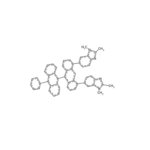 Cc1nc2ccc(-c3cccc4c(-c5c6ccccc6c(-c6ccccc6)c6ccccc56)c5cccc(-c6ccc7nc(C)n(C)c7c6)c5cc34)cc2n1C